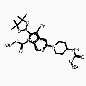 CC(C)c1c(B2OC(C)(C)C(C)(C)O2)n(C(=O)OC(C)(C)C)c2cnc(N3CCC(NC(=O)OC(C)(C)C)CC3)cc12